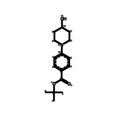 CC(C)(C)OC(=O)c1ccc(N2CCC(O)CC2)cc1